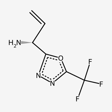 C=C[C@@H](N)c1nnc(C(F)(F)F)o1